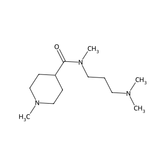 CN(C)CCCN(C)C(=O)C1CCN(C)CC1